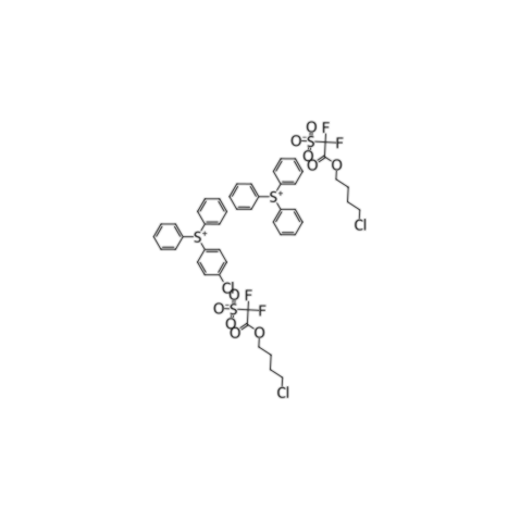 Clc1ccc([S+](c2ccccc2)c2ccccc2)cc1.O=C(OCCCCCl)C(F)(F)S(=O)(=O)[O-].O=C(OCCCCCl)C(F)(F)S(=O)(=O)[O-].c1ccc([S+](c2ccccc2)c2ccccc2)cc1